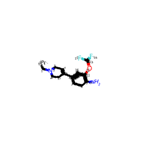 C[C](C)CN1CC=C(c2ccc(N)c(OC(F)F)c2)CC1